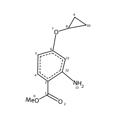 COC(=O)c1ccc(OC2CC2)cc1N